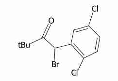 CC(C)(C)C(=O)C(Br)c1cc(Cl)ccc1Cl